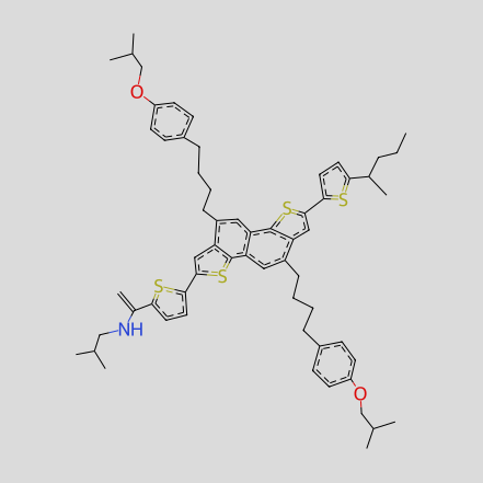 C=C(NCC(C)C)c1ccc(-c2cc3c(CCCCc4ccc(OCC(C)C)cc4)cc4c(cc(CCCCc5ccc(OCC(C)C)cc5)c5cc(-c6ccc(C(C)CCC)s6)sc54)c3s2)s1